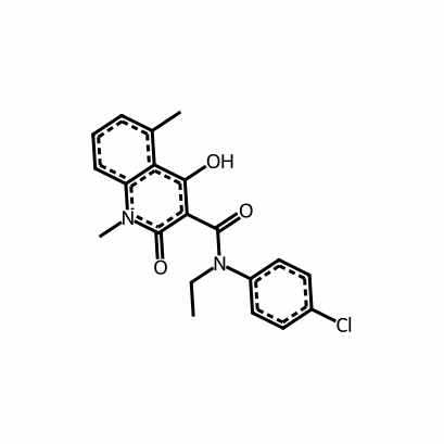 CCN(C(=O)c1c(O)c2c(C)cccc2n(C)c1=O)c1ccc(Cl)cc1